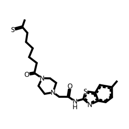 CC(=S)CCCCCC(=O)N1CCN(CC(=O)Nc2nc3ccc(C)cc3s2)CC1